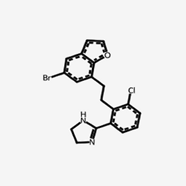 Clc1cccc(C2=NCCN2)c1CCc1cc(Br)cc2ccoc12